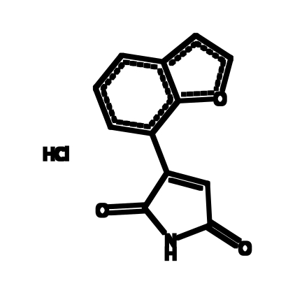 Cl.O=C1C=C(c2cccc3ccoc23)C(=O)N1